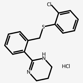 Cl.Clc1ccccc1SCc1ccccc1C1=NCCCN1